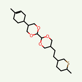 CC1=CCC(C2COC(C3OCC(CCC4CCC(C)SC4)CO3)OC2)CC1